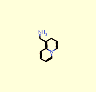 NCC1=C2C=CC=CN2C=CC1